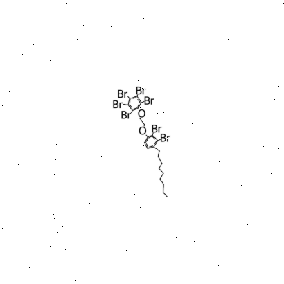 CCCCCCCCCc1ccc(OCCOc2c(Br)c(Br)c(Br)c(Br)c2Br)c(Br)c1Br